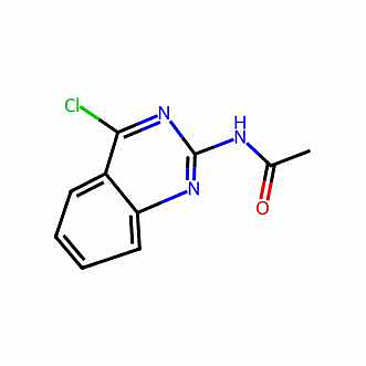 CC(=O)Nc1nc(Cl)c2ccccc2n1